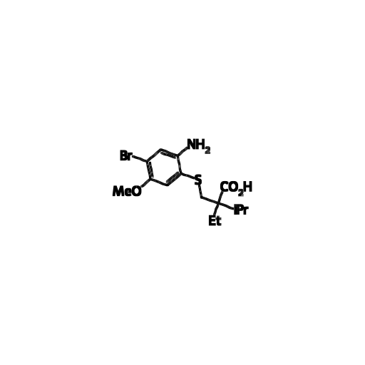 CCC(CSc1cc(OC)c(Br)cc1N)(C(=O)O)C(C)C